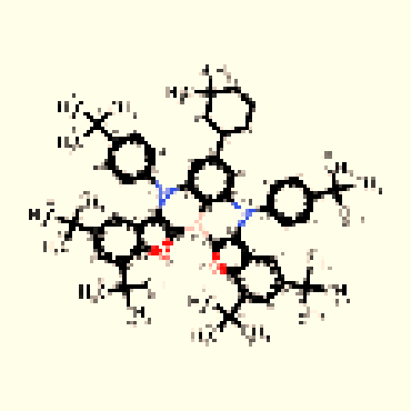 CC1(C)CCCC(c2cc3c4c(c2)N(c2ccc(C(C)(C)C)cc2)c2c(oc5c(C(C)(C)C)cc(C(C)(C)C)cc25)B4c2oc4c(C(C)(C)C)cc(C(C)(C)C)cc4c2N3c2ccc(C(C)(C)C)cc2)C1